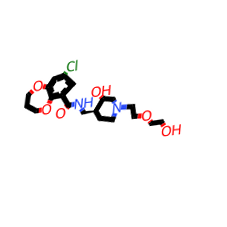 O=C(NC[C@@H]1CCN(CCOCCO)CC1O)c1cc(Cl)cc2c1OCCCO2